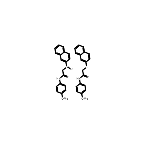 COc1ccc(NC(=O)CSc2ccc3ccccc3c2)cc1.COc1ccc(NC(=O)C[S+]([O-])c2ccc3ccccc3c2)cc1